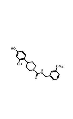 COc1cccc(CNC(=O)N2CCC(c3ccc(O)cc3O)CC2)c1